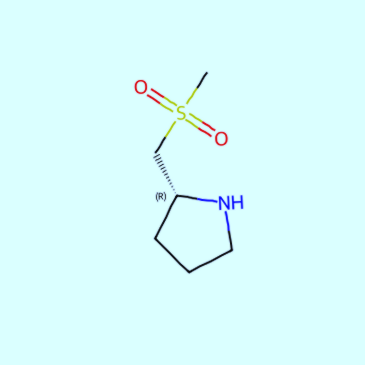 CS(=O)(=O)C[C@H]1CCCN1